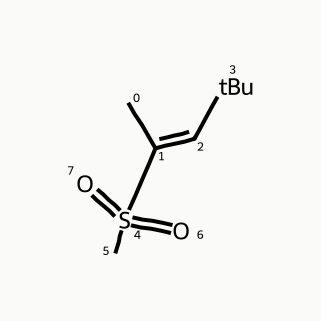 C/C(=C\C(C)(C)C)S(C)(=O)=O